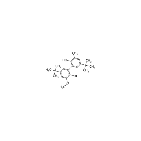 COc1cc(C(C)(C)C)cc(-c2cc(C(C)(C)C)cc(C)c2O)c1O